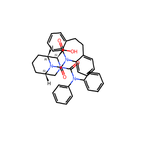 O=C(O)[C@@H]1[C@H]2CCC[C@@H](CN1C(=O)N(c1ccccc1)c1ccccc1)N2C(=O)N1c2ccccc2CCc2ccccc21